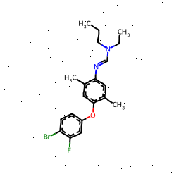 CCCN(C=Nc1cc(C)c(Oc2ccc(Br)c(F)c2)cc1C)CC